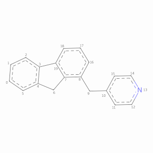 c1ccc2c(c1)Cc1c(Cc3ccncc3)cccc1-2